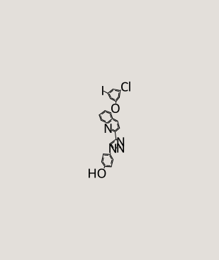 Oc1ccc(-n2cc(-c3ccc4c(Oc5cc(Cl)cc(I)c5)cccc4n3)nn2)cc1